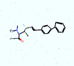 CC(C)C(=O)[C@H]([C@H](C)[C@H](C)/C=C/c1ccc(-c2ccccc2)cc1)N(C)C(C)C